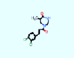 CC1CN(C(=O)/C=C/c2ccc(Cl)c(Cl)c2)CCNC1=O